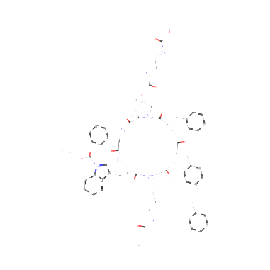 CC(C)(C)OC(=O)NCCCC[C@@H]1NC(=O)[C@@H](Cc2cn(C(=O)OC(C)(C)C)c3ccccc23)NC(=O)[C@H](c2ccccc2)NC(=O)[C@@H]2C[C@@H](OC(=O)NCCNC(=O)OC(C)(C)C)CN2C(=O)[C@H](Cc2ccccc2)NC(=O)[C@H](Cc2ccc(OCc3ccccc3)cc2)NC1=O